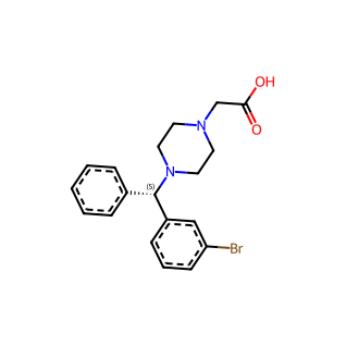 O=C(O)CN1CCN([C@@H](c2ccccc2)c2cccc(Br)c2)CC1